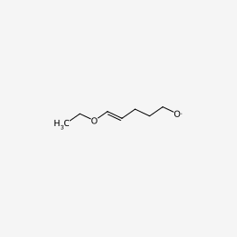 CCOC=CCCC[O]